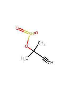 C#CC(C)(C)O[SH](=O)=O